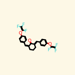 O=C1C(=Cc2ccc(OC(F)=C(F)F)cc2)CCCC1=Cc1ccc(OC(F)=C(F)F)cc1